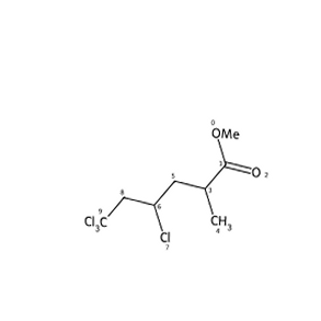 COC(=O)C(C)CC(Cl)CC(Cl)(Cl)Cl